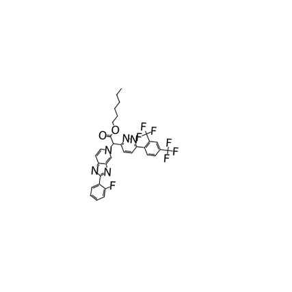 CCCCCCOC(=O)C(c1ccc(-c2ccc(C(F)(F)F)cc2C(F)(F)F)nn1)n1ccc2nc(-c3ccccc3F)nc-2c1